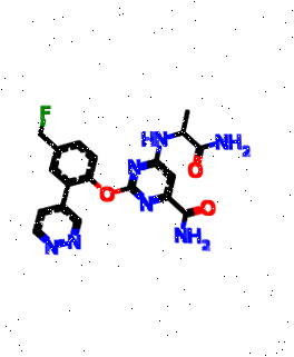 CC(Nc1cc(C(N)=O)nc(Oc2ccc(CF)cc2-c2ccnnc2)n1)C(N)=O